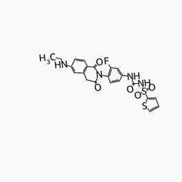 CCNc1ccc2c(c1)CC(=O)N(c1ccc(NC(=O)NS(=O)(=O)c3cccs3)cc1F)C2=O